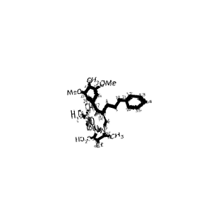 CCc1c(C(=O)O)nn(C[C@H](CCCc2ccccc2)[C@H](O[Si](C)(C)C(C)(C)C)c2cc(OC)c(C)c(OC)c2)c1C